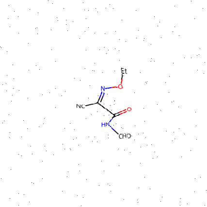 CCON=C(C#N)C(=O)N[C]=O